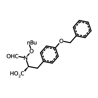 CCCCON(C=O)[C@@H](Cc1ccc(OCc2ccccc2)cc1)C(=O)O